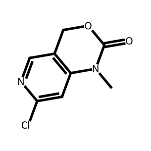 CN1C(=O)OCc2cnc(Cl)cc21